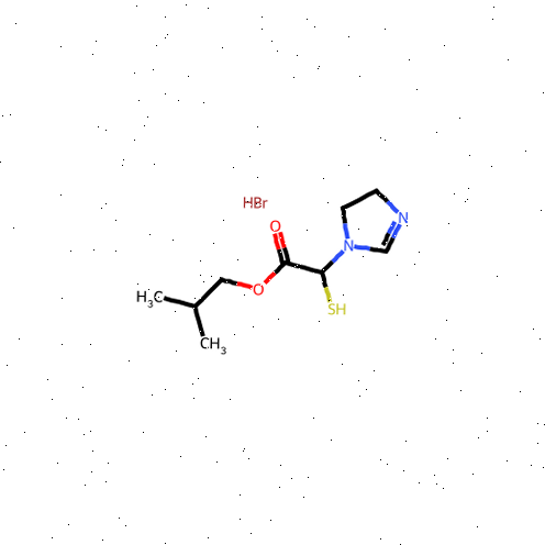 Br.CC(C)COC(=O)C(S)N1C=NCC1